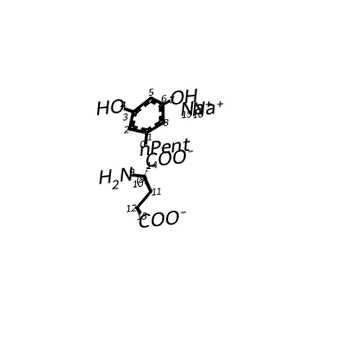 CCCCCc1cc(O)cc(O)c1.N[C@@H](CCC(=O)[O-])C(=O)[O-].[Na+].[Na+]